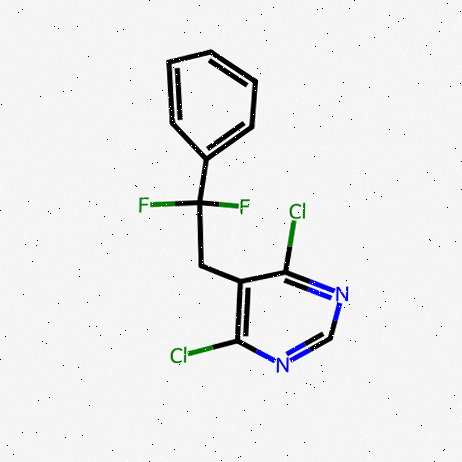 FC(F)(Cc1c(Cl)ncnc1Cl)c1ccccc1